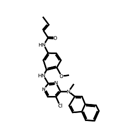 C/C=C/C(=O)Nc1ccc(OC)c(Nc2ncc(Cl)c(N(C)c3ccc4ccccc4c3)n2)c1